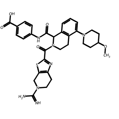 COC1CCN(c2cccc3c2CCN(C(=O)c2nc4c(s2)CN(C(=N)N)CC4)C3C(=O)Nc2ccc(C(=O)O)cc2)CC1